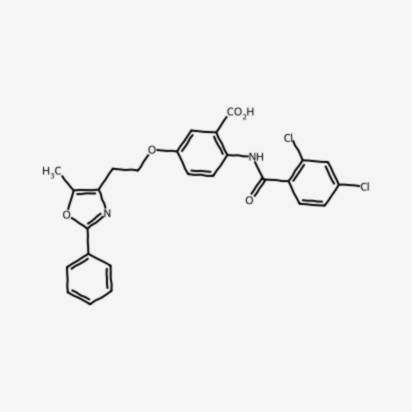 Cc1oc(-c2ccccc2)nc1CCOc1ccc(NC(=O)c2ccc(Cl)cc2Cl)c(C(=O)O)c1